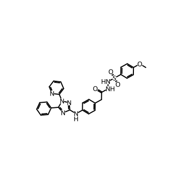 COc1ccc(S(=O)(=O)NNC(=O)Cc2ccc(Nc3nc(-c4ccccc4)n(-c4ccccn4)n3)cc2)cc1